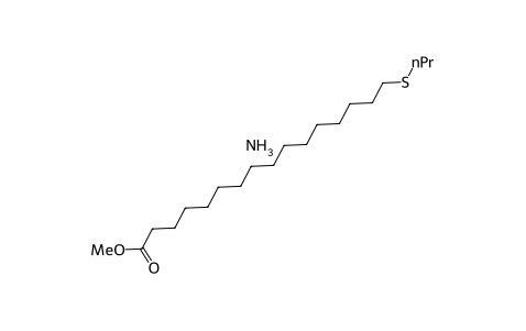 N.[CH2]CCSCCCCCCCCCCCCCCCC(=O)OC